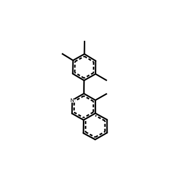 Cc1cc(C)c(-c2ncc3ccccc3c2C)cc1C